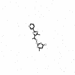 C/C(=N\Oc1nc(C)cc(Cl)n1)c1sc(-c2cccnc2)nc1C